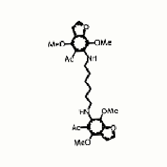 COc1c(C(C)=O)c(NCCCCCCNc2c(C(C)=O)c(OC)c3ccoc3c2OC)c(OC)c2occc12